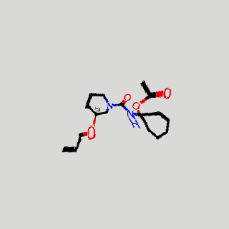 C=CCO[C@H]1CCCN(C(=O)NC2(OC(C)=O)CCCCC2)C1